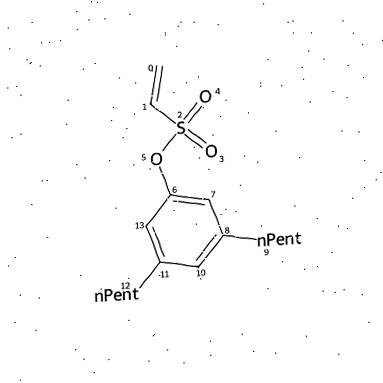 C=CS(=O)(=O)Oc1cc(CCCCC)cc(CCCCC)c1